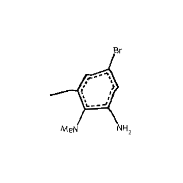 CNc1c(C)cc(Br)cc1N